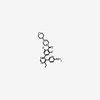 CCc1ncnc(-c2cc(F)c(C(=O)N3CCN(C4CCOCC4)CC3)c(F)c2)c1-c1ccc(N)nc1